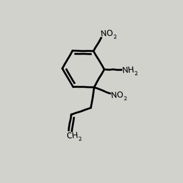 C=CCC1([N+](=O)[O-])C=CC=C([N+](=O)[O-])C1N